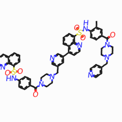 Cc1cc(C(=O)N2CCN(Cc3ccncc3)CC2)ccc1NS(=O)(=O)c1cccc2c(-c3cncc(CN4CCN(C(=O)c5ccc(NS(=O)(=O)c6cccc7cccnc67)cc5)CC4)c3)ccnc12